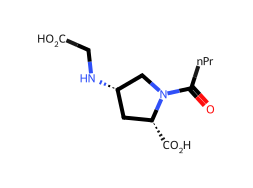 CCCC(=O)N1C[C@@H](NCC(=O)O)C[C@H]1C(=O)O